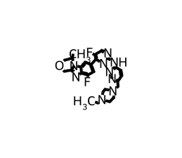 CCN1CCN(Cc2ccc(Nc3ncc(F)c(-c4cc(F)c5nc6n(c5c4)C(C)COC6)n3)nn2)CC1